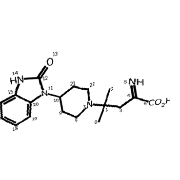 CC(C)(CC(=N)C(=O)O)N1CCC(n2c(=O)[nH]c3ccccc32)CC1